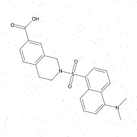 CN(C)c1cccc2c(S(=O)(=O)N3CCc4ccc(C(=O)O)cc4C3)cccc12